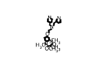 CN1C(=O)C(C)(C)C(=O)N(C)c2cc(OCCCN(CCc3cccnc3)Cc3ccncc3)ccc21